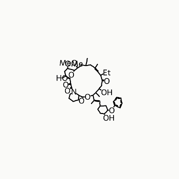 CCC1/C=C(\C)CC(C)CC(OC)C2OC(O)(C(=O)C(=O)N3CCCCC3C(=O)OC(C(C)=CC3CCC(O)C(Oc4ccccc4)C3)C(C)C(O)CC1=O)C(C)CC2OC